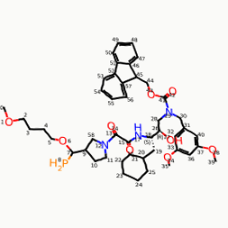 COCCCCOC(P)C1CCN(C(=O)C(=O)N[C@@H](CC2CCCCC2)[C@H](O)CN(Cc2cc(OC)cc(OC)c2)C(=O)OCC2c3ccccc3-c3ccccc32)C1